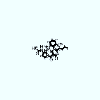 CCCCc1nc(=O)c(C(=O)N2CC[C@@H](NC(=O)O)C2)c(O)n1-c1c(OC)cccc1OC